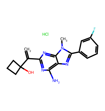 C=C(c1nc(N)c2nc(-c3cccc(F)c3)n(C)c2n1)C1(O)CCC1.Cl